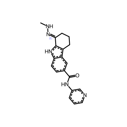 CN/N=C1\CCCc2c1[nH]c1ccc(C(=O)Nc3cccnc3)cc21